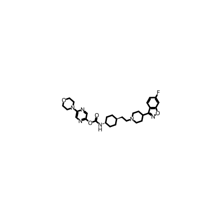 O=C(N[C@H]1CC[C@H](CCN2CCC(c3noc4cc(F)ccc34)CC2)CC1)Oc1cnc(N2CCOCC2)cn1